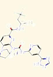 C[C@H](CC(F)(F)F)NC(=O)c1ccc2c(n1)N(C(=O)Nc1cc(-c3ncn[nH]3)ccn1)[C@H]1CCN2C1